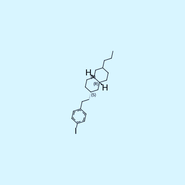 CCCC1CC[C@@H]2C[C@H](CCc3ccc(I)cc3)CC[C@@H]2C1